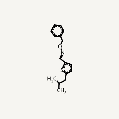 CC(C)Cc1ccc(C=NOCc2ccccc2)s1